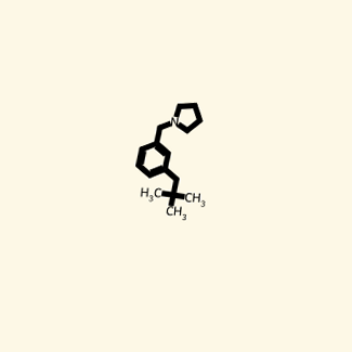 CC(C)(C)Cc1cccc(CN2CCCC2)c1